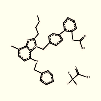 CCCCc1nc2c(C)ccc(OCc3ccccc3)c2n1Cc1ccc(-c2ccccc2OC(=O)O)cc1.O=C(O)C(F)(F)F